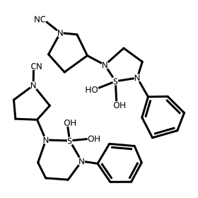 N#CN1CCC(N2CCCN(c3ccccc3)S2(O)O)C1.N#CN1CCC(N2CCN(c3ccccc3)S2(O)O)C1